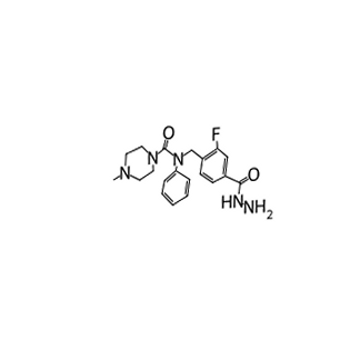 CN1CCN(C(=O)N(Cc2ccc(C(=O)NN)cc2F)c2ccccc2)CC1